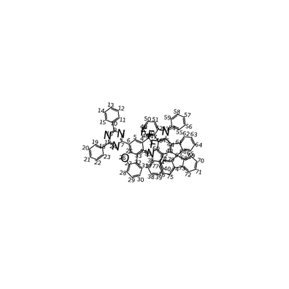 FC(F)(F)c1cc(-c2nc(-c3ccccc3)nc(-c3ccccc3)n2)c2oc3ccccc3c2c1-n1c2ccccc2c2c3c(c4c(c5ccccc5n4-c4ccccc4)c21)-c1ccccc1C31c2ccccc2-c2ccccc21